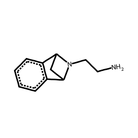 NCCN1C2CC1c1ccccc12